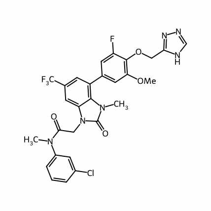 COc1cc(-c2cc(C(F)(F)F)cc3c2n(C)c(=O)n3CC(=O)N(C)c2cccc(Cl)c2)cc(F)c1OCc1nnc[nH]1